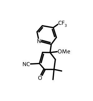 COC1(c2cc(C(F)(F)F)ccn2)C=C(C#N)C(=O)C(C)(C)C1